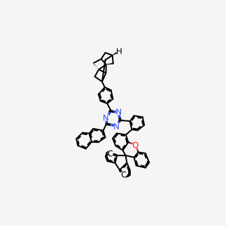 c1ccc2c(c1)Oc1c(-c3ccccc3-c3nc(-c4ccc(C56C[C@@H]7CC8C[C@@]9(C5)C6[C@@]89C7)cc4)nc(-c4ccc5ccccc5c4)n3)cccc1C21c2ccccc2-c2ccccc21